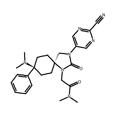 CN(C)C(=O)CN1C(=O)N(c2cnc(C#N)nc2)C[C@]12CC[C@](c1ccccc1)(N(C)C)CC2